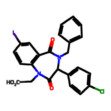 O=C(O)CN1C(=O)C(c2ccc(Cl)cc2)N(Cc2ccccc2)C(=O)c2cc(I)ccc21